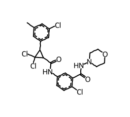 Cc1cc(Cl)cc(C2C(C(=O)Nc3ccc(Cl)c(C(=O)NN4CCOCC4)c3)C2(Cl)Cl)c1